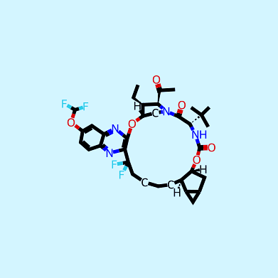 CC[C@@H]1[C@@H]2CN(C(=O)[C@H](C(C)(C)C)NC(=O)O[C@@H]3CC4CC4[C@H]3CCCCC(F)(F)c3nc4ccc(OC(F)F)cc4nc3O2)[C@@H]1C(C)=O